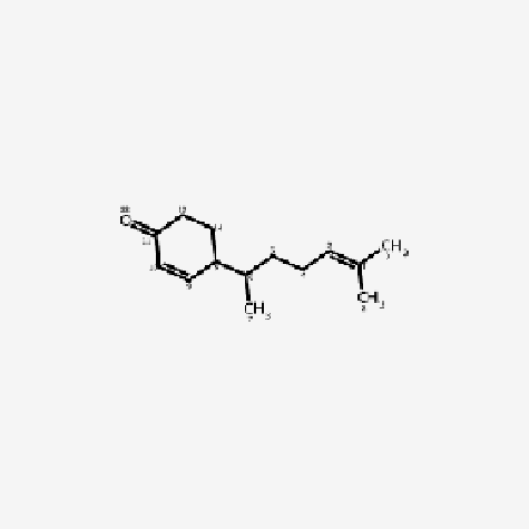 CC(C)=CCCC(C)C1C=CC(=O)CC1